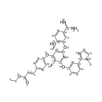 CCOC(=O)/C=C/c1ccc(Oc2c(F)c(Oc3cccc(-c4nccn4C)c3)nc(Oc3cc(C(=N)N)ccc3O)c2F)cc1